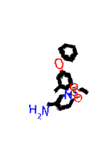 CCS(=O)(=O)[N+]1(c2ccc(Oc3ccccc3)cc2C)C=C(CN)C=CC1